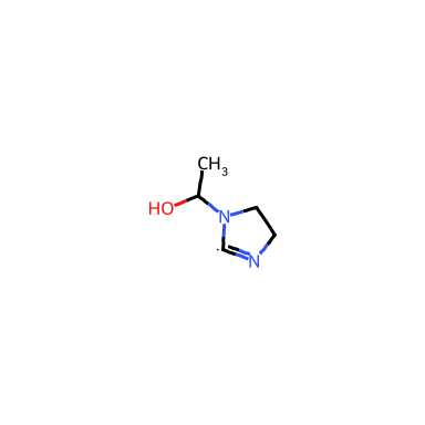 CC(O)N1[C]=NCC1